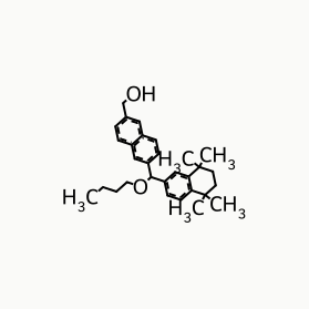 CCCCOC(c1ccc2c(c1)C(C)(C)CCC2(C)C)c1ccc2cc(CO)ccc2c1